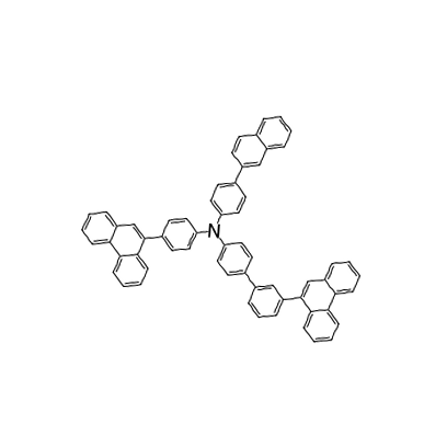 c1cc(-c2ccc(N(c3ccc(-c4ccc5ccccc5c4)cc3)c3ccc(-c4cc5ccccc5c5ccccc45)cc3)cc2)cc(-c2cc3ccccc3c3ccccc23)c1